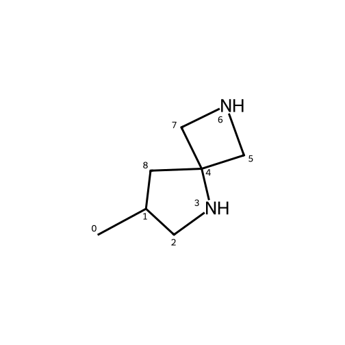 CC1CNC2(CNC2)C1